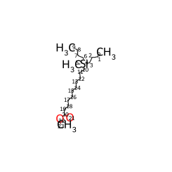 CCCC[Si](C)(CCCC)CCCCCCCCCCC(=O)OC